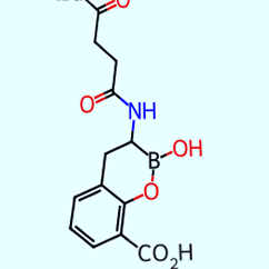 CC(C)(C)C(=O)CCC(=O)NC1Cc2cccc(C(=O)O)c2OB1O